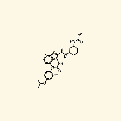 C=CC(=O)NC1CCC[C@@H](NC(=O)c2sc3nccc4c3c2NC(=O)N4c2ccc(OC(C)C)cc2C)C1